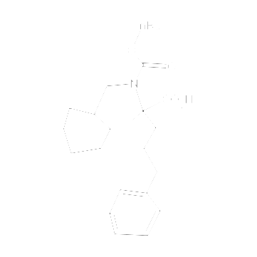 CCCCOC(=O)N(CC1CCCCC1)C(C)(CCCc1ccccc1)C(=O)O